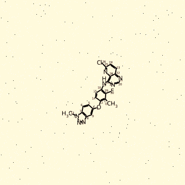 Cc1c(Oc2ccc3c(c2)nnn3C)ccc(Nc2ncnc3ccc(Cl)nc23)c1F